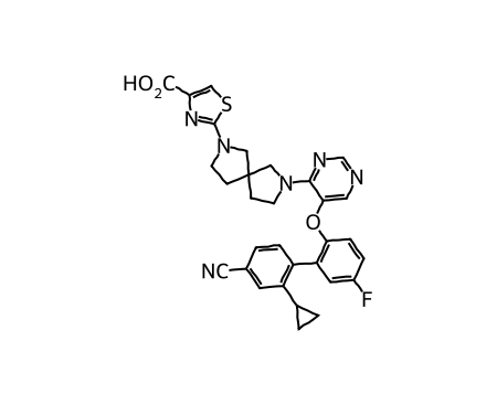 N#Cc1ccc(-c2cc(F)ccc2Oc2cncnc2N2CCC3(CCN(c4nc(C(=O)O)cs4)C3)C2)c(C2CC2)c1